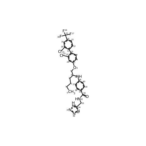 CCCCC(COc1ccc(-c2ccc(C(F)(F)F)cc2Cl)c(Cl)c1)Nc1ccc(C(=O)NCc2nnn[nH]2)cc1